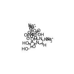 O=P([O-])([O-])OP(=O)([O-])OP(=O)(O)O.[2H]c1cn([C@@H]2O[C@H](CO)[C@@H](O)[C@H]2O)c(=O)nc1N.[Na+].[Na+].[Na+]